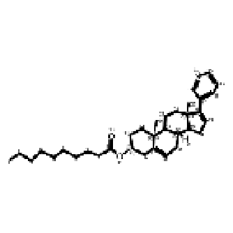 CCCCCCCCCC(=O)O[C@H]1CC[C@@]2(C)C(=CC[C@@H]3C2CC[C@]2(C)C(c4cccnc4)=CCC32)C1